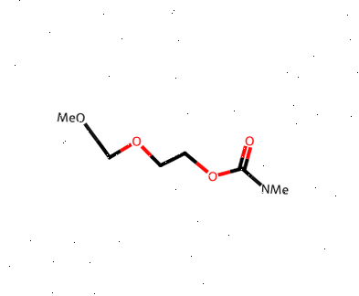 CNC(=O)OCCOCOC